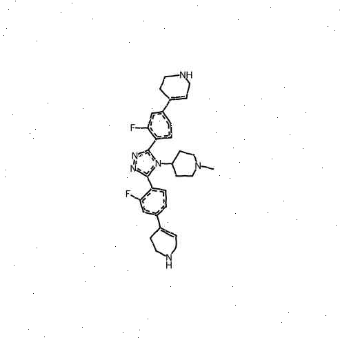 CN1CCC(n2c(-c3ccc(C4=CCNCC4)cc3F)nnc2-c2ccc(C3=CCNCC3)cc2F)CC1